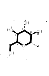 C[C@@H]1OC(CO)[C@@H](O)[C@H](O)[C@H]1O